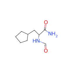 NC(=O)C(CC1CCCC1)NC=O